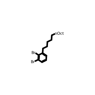 CCCCCCCCCCCCCc1cccc(Br)c1Br